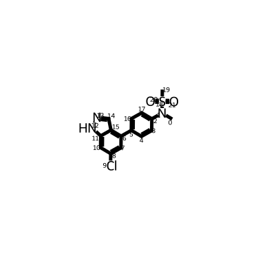 CN(c1ccc(-c2cc(Cl)cc3[nH]ncc23)cc1)S(C)(=O)=O